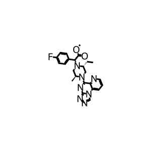 CC[C@@H]1CN(c2nc3nncn3c3cccnc23)[C@@H](C)CN1[C@H](C(=O)OC)c1ccc(F)cc1